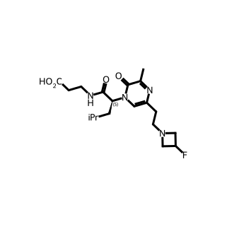 Cc1nc(CCN2CC(F)C2)cn([C@@H](CC(C)C)C(=O)NCCC(=O)O)c1=O